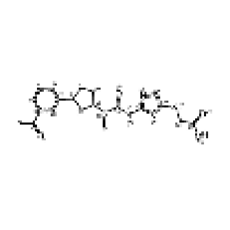 CC(=O)c1cccc(C2CCC(N(C)C(=O)Nc3ncc(SCC(=O)O)s3)C2)c1